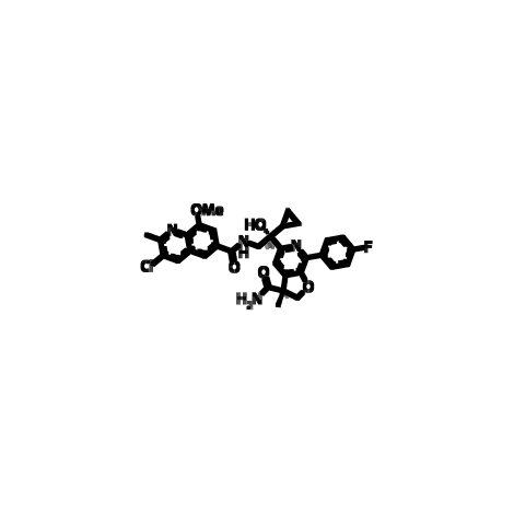 COc1cc(C(=O)NC[C@](O)(c2cc3c(c(-c4ccc(F)cc4)n2)OC[C@]3(C)C(N)=O)C2CC2)cc2cc(Cl)c(C)nc12